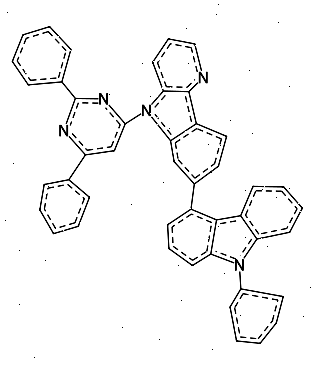 c1ccc(-c2cc(-n3c4cc(-c5cccc6c5c5ccccc5n6-c5ccccc5)ccc4c4ncccc43)nc(-c3ccccc3)n2)cc1